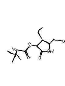 CC[C@@H]1C(OC(=O)NC(C)(C)C)C(=O)N[C@@H]1CO